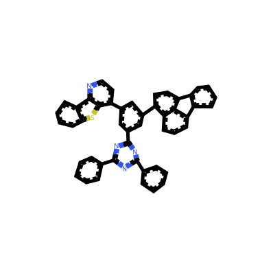 c1ccc(-c2nc(-c3ccccc3)nc(-c3cc(-c4ccc5c6c(cccc46)-c4ccccc4-5)cc(-c4ccnc5c4sc4ccccc45)c3)n2)cc1